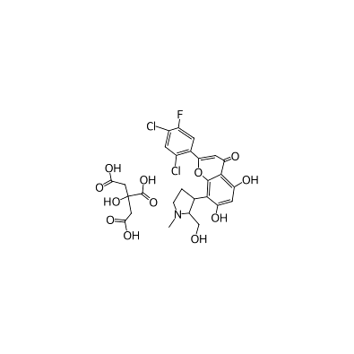 CN1CCC(c2c(O)cc(O)c3c(=O)cc(-c4cc(F)c(Cl)cc4Cl)oc23)C1CO.O=C(O)CC(O)(CC(=O)O)C(=O)O